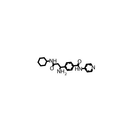 NC(CC(=O)NC1CCCCC1)c1ccc(C(=O)Nc2ccncc2)cc1